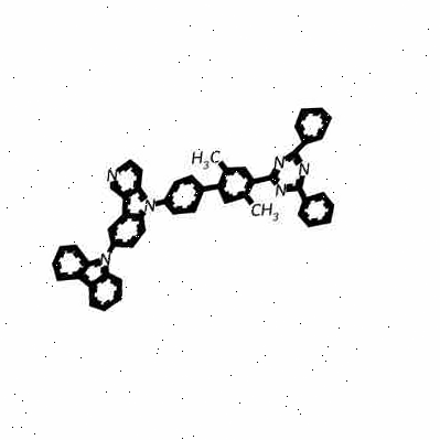 Cc1cc(-c2nc(-c3ccccc3)nc(-c3ccccc3)n2)c(C)cc1-c1ccc(-n2c3ccncc3c3cc(-n4c5ccccc5c5ccccc54)ccc32)cc1